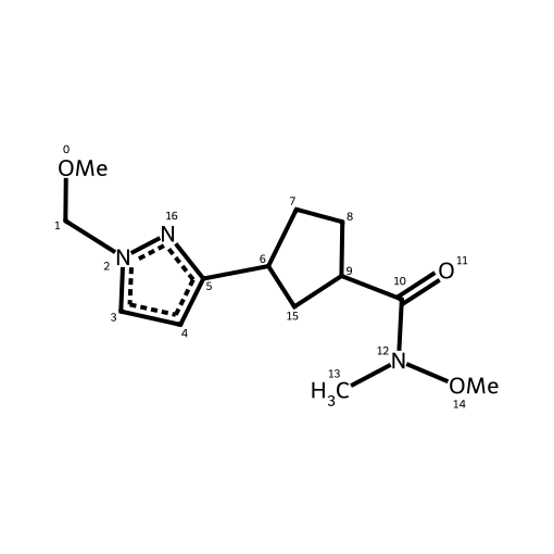 COCn1ccc(C2CCC(C(=O)N(C)OC)C2)n1